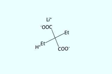 CCC(CC)(C(=O)[O-])C(=O)[O-].[H+].[Li+]